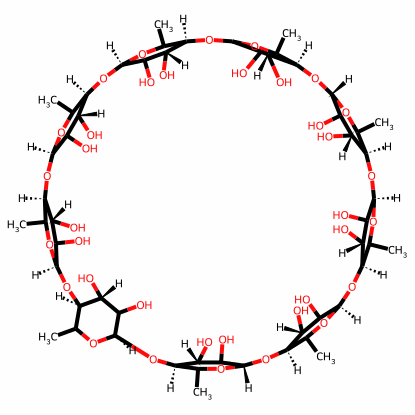 CC1OC2O[C@@H]3C(C)O[C@H](O[C@@H]4C(C)O[C@H](O[C@@H]5C(C)O[C@H](O[C@@H]6C(C)O[C@H](O[C@@H]7C(C)O[C@@H](O[C@@H]8C(C)O[C@H](O[C@@H]9C(C)O[C@H](O[C@@H]%10C(C)O[C@@H](O[C@H]1[C@H](O)C2O)C(O)[C@H]%10O)C(O)[C@H]9O)C(O)[C@H]8O)C(O)[C@H]7O)C(O)[C@H]6O)C(O)[C@H]5O)C(O)[C@H]4O)C(O)[C@H]3O